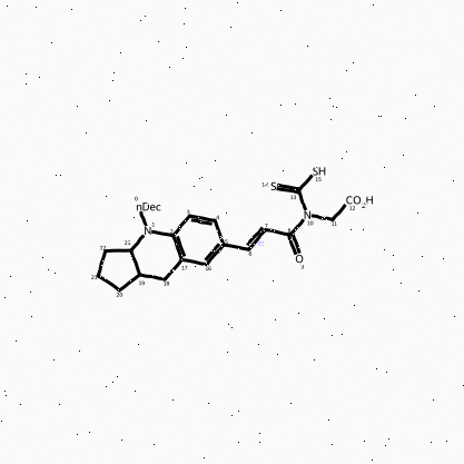 CCCCCCCCCCN1c2ccc(/C=C/C(=O)N(CC(=O)O)C(=S)S)cc2CC2CCCC21